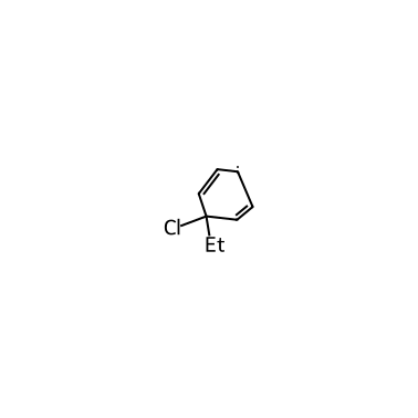 CCC1(Cl)C=C[CH]C=C1